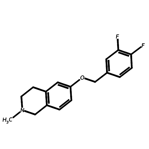 CN1CCc2cc(OCc3ccc(F)c(F)c3)ccc2C1